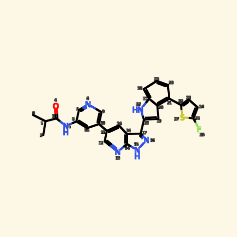 CC(C)C(=O)Nc1cncc(-c2cnc3[nH]nc(-c4cc5c(-c6ccc(F)s6)cccc5[nH]4)c3c2)c1